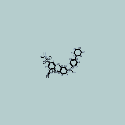 CNS(=O)(=O)c1ccc(Nc2ccc(N(C)c3ccc(C4CCCCC4)cc3)cc2C)c(C#N)c1